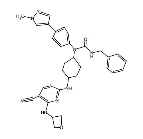 Cn1cc(-c2ccc(N(C(=O)NCc3ccccc3)C3CCC(Nc4ncc(C#N)c(NC5COC5)n4)CC3)cc2)cn1